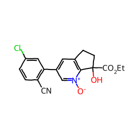 CCOC(=O)C1(O)CCc2cc(-c3cc(Cl)ccc3C#N)c[n+]([O-])c21